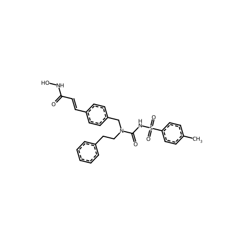 Cc1ccc(S(=O)(=O)NC(=O)N(CCc2ccccc2)Cc2ccc(/C=C/C(=O)NO)cc2)cc1